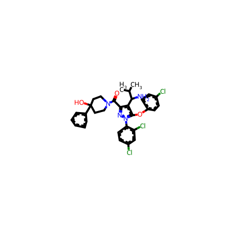 CC(C)C(N)c1c(C(=O)N2CCC(O)(c3ccccc3)CC2)nn(-c2ccc(Cl)cc2Cl)c1Oc1ccc(Cl)cc1